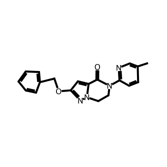 Cc1ccc(N2CCn3nc(OCc4ccccc4)cc3C2=O)nc1